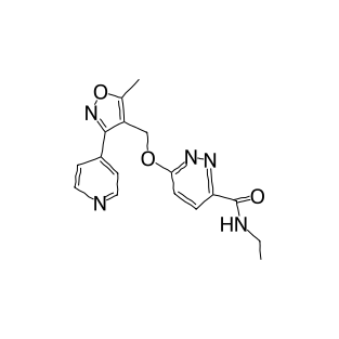 CCNC(=O)c1ccc(OCc2c(-c3ccncc3)noc2C)nn1